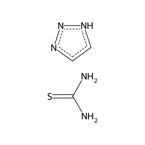 NC(N)=S.c1c[nH]nn1